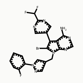 Nc1ncnc2c1c(-c1cnc(C(F)F)nc1)c(Br)n2Cc1cnn(-c2ccccc2F)c1